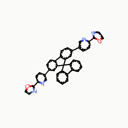 c1ccc2c(c1)-c1ccccc1C21c2cc(-c3ccc(-c4ncco4)nc3)ccc2-c2ccc(-c3ccc(-c4ncco4)nc3)cc21